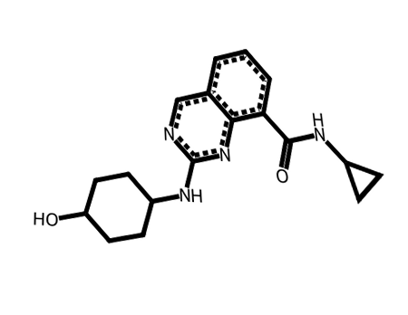 O=C(NC1CC1)c1cccc2cnc(NC3CCC(O)CC3)nc12